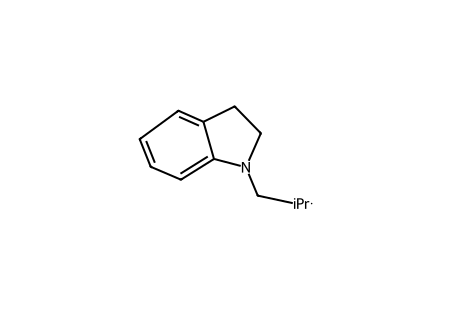 C[C](C)CN1CCc2ccccc21